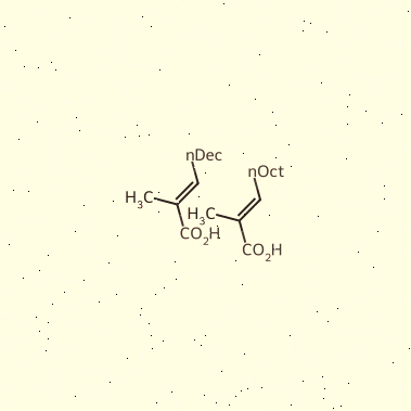 CCCCCCCCC=C(C)C(=O)O.CCCCCCCCCCC=C(C)C(=O)O